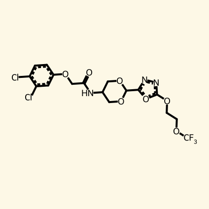 O=C(COc1ccc(Cl)c(Cl)c1)NC1COC(c2nnc(OCCOC(F)(F)F)o2)OC1